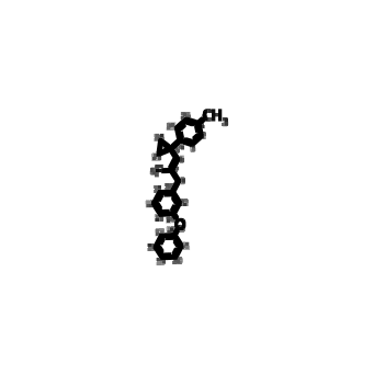 Cc1ccc(C2(/C=C(\F)Cc3cccc(Oc4ccccc4)c3)CC2)cc1